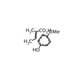 CC=C(C)C(=O)O.COc1ccc(O)cc1